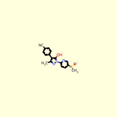 Cc1nn(-c2ccc([S@+](C)[O-])cn2)c(O)c1-c1ccc(C#N)cc1